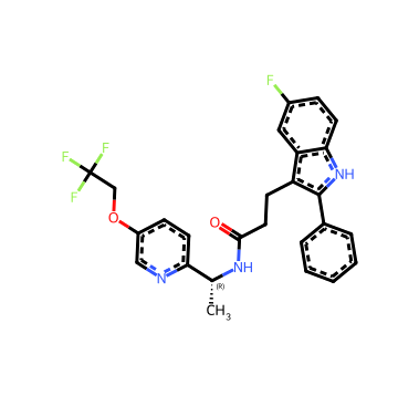 C[C@@H](NC(=O)CCc1c(-c2ccccc2)[nH]c2ccc(F)cc12)c1ccc(OCC(F)(F)F)cn1